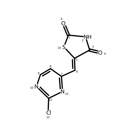 O=C1NC(=O)/C(=C/c2ccnc(Cl)n2)S1